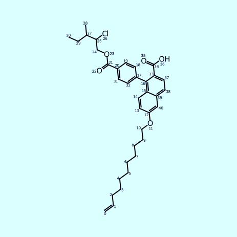 C=CCCCCCCCCCOc1ccc2c(-c3ccc(C(=O)OCC(Cl)C(C)CC)cc3)c(C(=O)O)ccc2c1